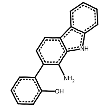 Nc1c(-c2ccccc2O)ccc2c1[nH]c1ccccc12